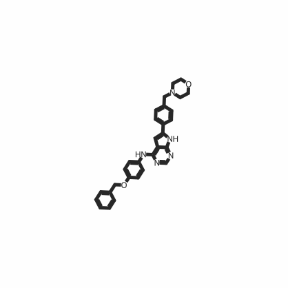 c1ccc(COc2ccc(Nc3ncnc4[nH]c(-c5ccc(CN6CCOCC6)cc5)cc34)cc2)cc1